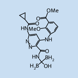 BC(B)(O)NC(=O)c1nnc(NC(=O)C2CC2)cc1Nc1cccc(C(=O)OC)c1OC